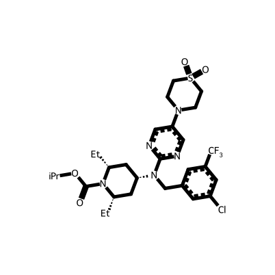 CC[C@@H]1C[C@H](N(Cc2cc(Cl)cc(C(F)(F)F)c2)c2ncc(N3CCS(=O)(=O)CC3)cn2)C[C@H](CC)N1C(=O)OC(C)C